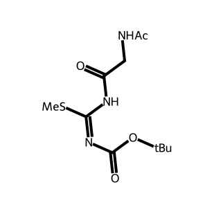 CSC(=NC(=O)OC(C)(C)C)NC(=O)CNC(C)=O